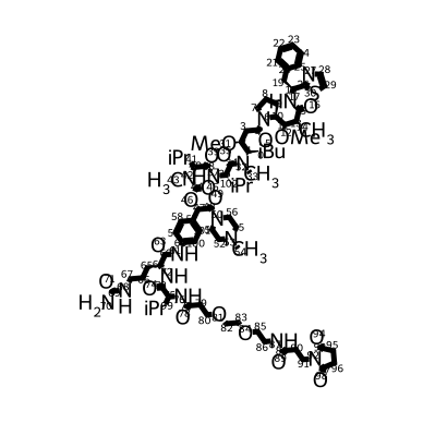 CC[C@H](C)[C@@H]([C@@H](CC(=O)N1CCC[C@H]1[C@H](OC)[C@@H](C)C(=O)N[C@@H](Cc1ccccc1)c1nccs1)OC)N(C)C(=O)[C@@H](NC(=O)C(C(C)C)N(C)C(=O)OC(C(=O)N1CCN(C)CC1)c1ccc(NC(=O)[C@H](CCCNC(N)=O)NC(=O)C(NC(=O)CCOCCOCCNC(=O)CCN2C(=O)CCC2=O)C(C)C)cc1)C(C)C